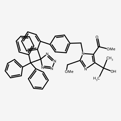 COCc1nc(C(C)(C)O)c(C(=O)OC)n1Cc1ccc(-c2ccccc2C2(C(c3ccccc3)(c3ccccc3)c3ccccc3)N=NN=N2)cc1